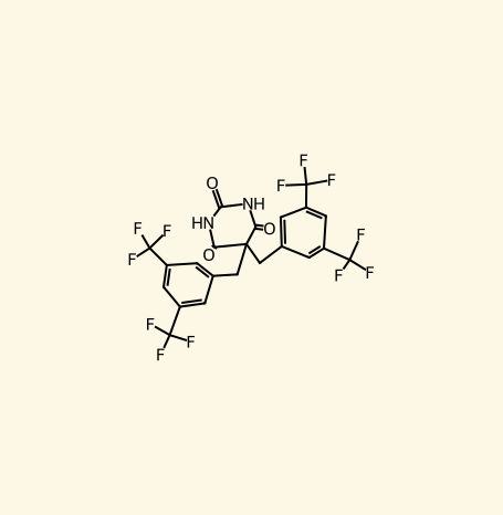 O=C1NC(=O)C(Cc2cc(C(F)(F)F)cc(C(F)(F)F)c2)(Cc2cc(C(F)(F)F)cc(C(F)(F)F)c2)C(=O)N1